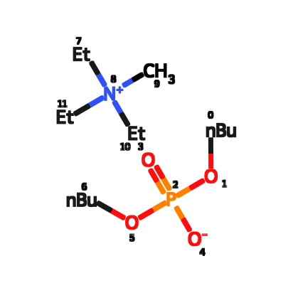 CCCCOP(=O)([O-])OCCCC.CC[N+](C)(CC)CC